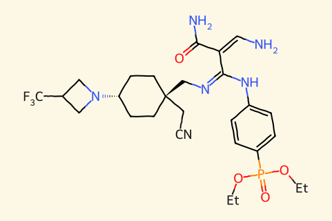 CCOP(=O)(OCC)c1ccc(NC(=N/C[C@]2(CC#N)CC[C@@H](N3CC(C(F)(F)F)C3)CC2)/C(=C\N)C(N)=O)cc1